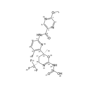 COc1cnc(C(=O)Nc2ccc(F)c([C@]3(C)C[C@@H](C(F)(F)F)N=C(NC(=O)O)O3)n2)cn1